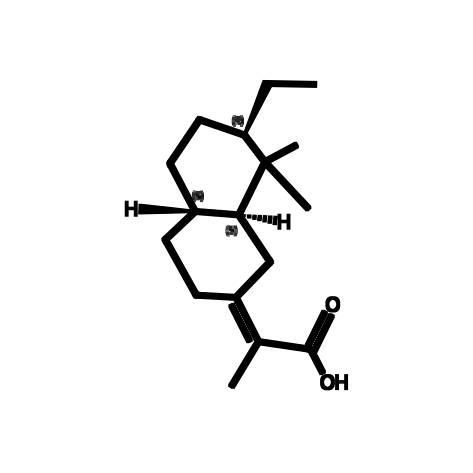 CC[C@@H]1CC[C@H]2CCC(=C(C)C(=O)O)C[C@@H]2C1(C)C